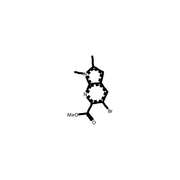 COC(=O)c1nc2c(cc1Br)cc(C)n2C